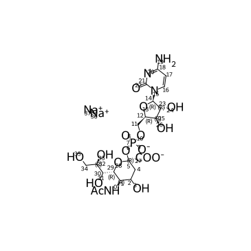 CC(=O)N[C@@H]1C(O)C[C@@](OP(=O)([O-])OC[C@H]2O[C@@H](n3ccc(N)nc3=O)[C@H](O)[C@H]2O)(C(=O)[O-])O[C@H]1C(O)[C@H](O)CO.[Na+].[Na+]